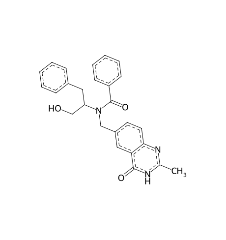 Cc1nc2ccc(CN(C(=O)c3ccccc3)C(CO)Cc3ccccc3)cc2c(=O)[nH]1